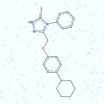 S=c1[nH]nc(COc2ccc(C3CCCCC3)cc2)n1-c1ccccc1